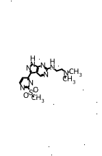 CN(C)CCNc1ncc2c(-c3ccnc(S(C)(=O)=O)n3)n[nH]c2n1